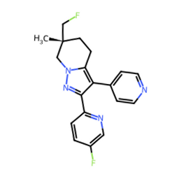 C[C@@]1(CF)CCc2c(-c3ccncc3)c(-c3ccc(F)cn3)nn2C1